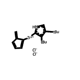 C=C1C=CC=[C]1[Zr+2][c]1[nH]cc(C(C)(C)C)c1C(C)(C)C.[Cl-].[Cl-]